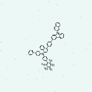 [2H]c1c([2H])c([2H])c(-c2ccc(N(c3ccc(-c4ccccc4)cc3)c3ccc(-c4ccc(-c5ccc6c(c5)c5ccccc5n6-c5ccc6ccccc6c5)cc4)c4ccccc34)cc2)c([2H])c1[2H]